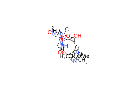 CCn1c(-c2cccnc2[C@H](C)OC)c2c3cc(ccc31)-c1cc(O)cc(c1)C[C@H](NC(=O)C(C1CCCC1)N(C)C(=O)[C@H]1CCN(C(=O)C3CC3)C1)C(=O)N1CCC[C@H](N1)C(=O)OCC(C)(C)C2